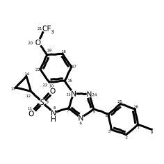 Cc1ccc(-c2nc(NS(=O)(=O)C3CC3)n(-c3ccc(OC(F)(F)F)cc3)n2)cc1